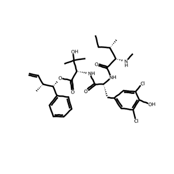 C=C[C@@H](C)[C@H](OC(=O)[C@@H](NC(=O)[C@@H](Cc1cc(Cl)c(O)c(Cl)c1)NC(=O)[C@@H](NC)[C@@H](C)CC)C(C)(C)O)c1ccccc1